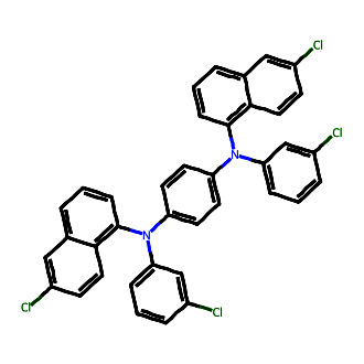 Clc1cccc(N(c2ccc(N(c3cccc(Cl)c3)c3cccc4cc(Cl)ccc34)cc2)c2cccc3cc(Cl)ccc23)c1